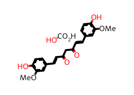 COc1cc(/C=C/C(=O)CC(=O)/C=C/c2ccc(O)c(OC)c2)ccc1O.O=C(O)O